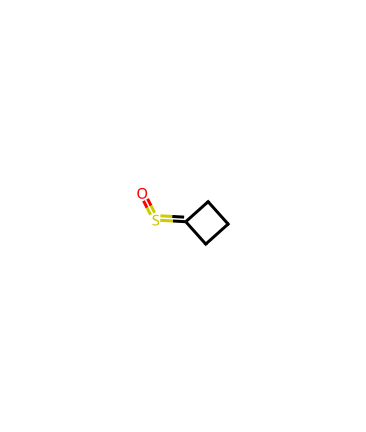 O=S=C1CCC1